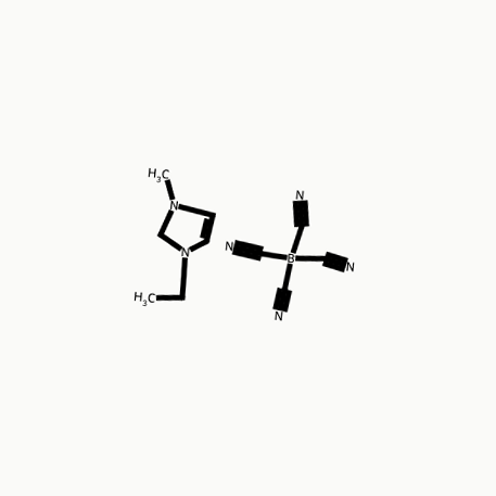 CCN1C=CN(C)C1.N#C[B-](C#N)(C#N)C#N